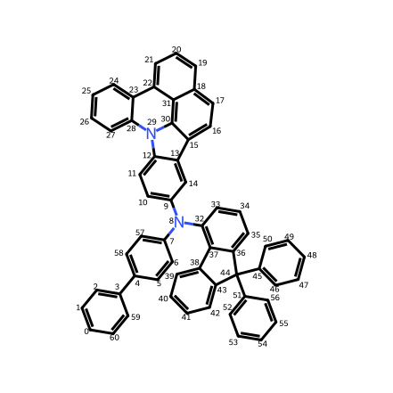 c1ccc(-c2ccc(N(c3ccc4c(c3)c3ccc5cccc6c7ccccc7n4c3c56)c3cccc4c3-c3ccccc3C4(c3ccccc3)c3ccccc3)cc2)cc1